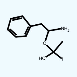 CC(O)(I)OC(N)Cc1ccccc1